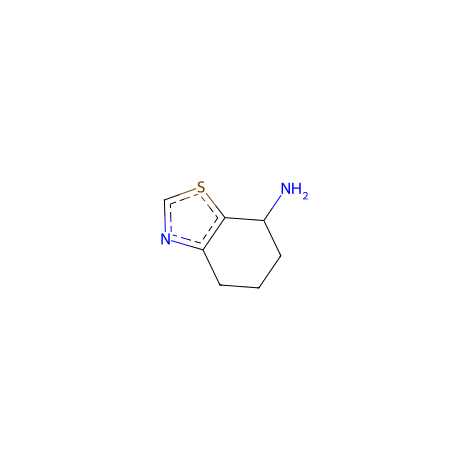 NC1CCCc2ncsc21